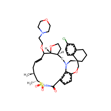 C[C@@H]1[C@@H](C)C/C=C/C(OCCN2CCOCC2)[C@@H]2OCC[C@H]2CN2C[C@@]3(CCCc4cc(Cl)ccc43)COc3ccc(cc32)C(=O)NS1(=O)=O